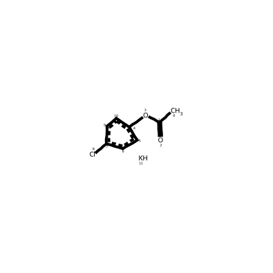 CC(=O)Oc1ccc(Cl)cc1.[KH]